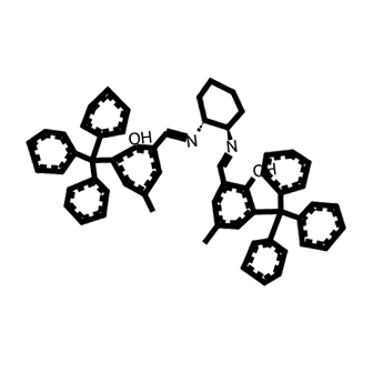 Cc1cc(/C=N/[C@@H]2CCCC[C@H]2/N=C/c2cc(C)cc(C(c3ccccc3)(c3ccccc3)c3ccccc3)c2O)c(O)c(C(c2ccccc2)(c2ccccc2)c2ccccc2)c1